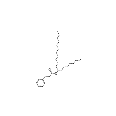 CCCCCCCCCCCC(CCCCCCCC)OC(=O)CCc1ccccc1